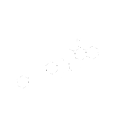 O=c1c(C2=NS(O)(O)c3cc(OCc4ccccc4)ccc3N2)c(O)c2ccccc2n1NC1CCCC1